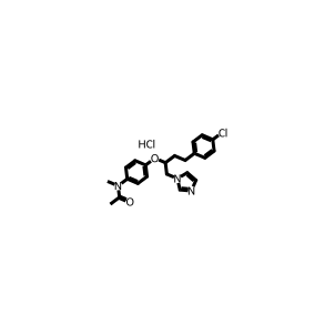 CC(=O)N(C)c1ccc(OC(CCc2ccc(Cl)cc2)Cn2ccnc2)cc1.Cl